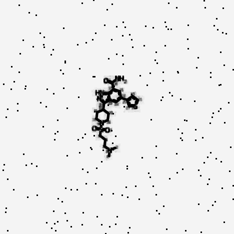 CN(C)CCCS(=O)(=O)N1CCC(c2n[nH]c3c(C(N)=O)cc(-c4ccsc4)cc23)CC1